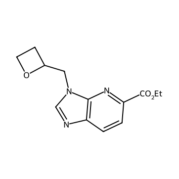 CCOC(=O)c1ccc2ncn(CC3CCO3)c2n1